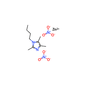 CCCCn1c(C)nc(C)c1C.O=[N+]([O-])[O-].O=[N+]([O-])[O-].[Zn+2]